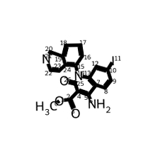 COC(=O)c1c(N)c2ccc(I)cc2n(-c2cccc3cnccc23)c1=O